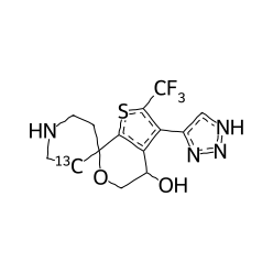 OC1COC2(CCNC[13CH2]2)c2sc(C(F)(F)F)c(-c3c[nH]nn3)c21